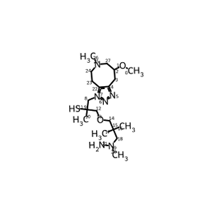 COC1Cc2nnn(CC(C)(S)COCC(C)(C)CN(C)N)c2CCN(C)C1